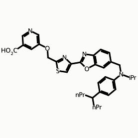 CCCC(CCC)c1ccc(N(Cc2ccc3nc(-c4csc(COc5cncc(C(=O)O)c5)n4)oc3c2)C(C)C)cc1